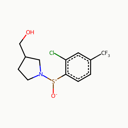 [O-][S+](c1ccc(C(F)(F)F)cc1Cl)N1CCC(CO)C1